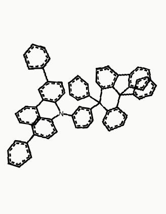 c1ccc(-c2ccc(N(c3cccc(C4(c5ccccc5)c5ccccc5C5(c6ccccc6)c6ccccc6-c6cccc4c65)c3)c3ccc(-c4ccccc4)cc3-c3ccccc3)cc2)cc1